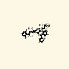 C[C@H](NCC(O)c1c(F)cccc1F)C(=O)NC1N=C(c2ccccn2)c2ccccc2N(CC(=O)C(C)(C)C)C1=O